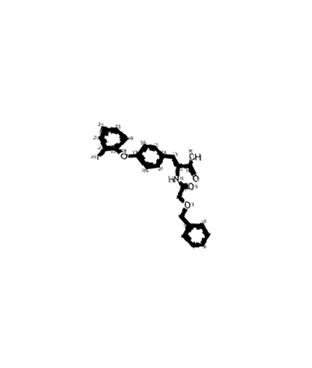 O=C(COCc1ccccc1)N/C(=C\c1ccc(Oc2ccccc2I)cc1)C(=O)O